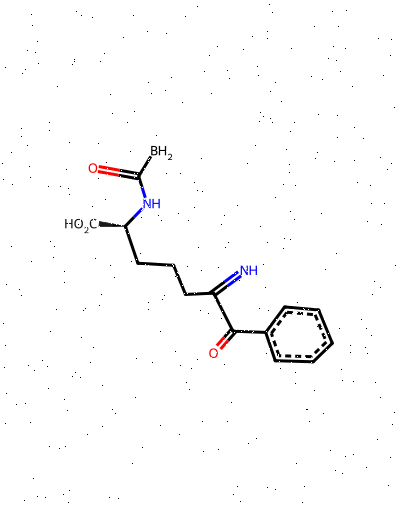 BC(=O)N[C@@H](CCCC(=N)C(=O)c1ccccc1)C(=O)O